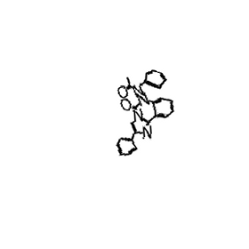 CC(=O)N(c1ccccc1)n1c(=O)n2cc(-c3ccccc3)nc2c2ccccc21